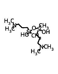 CN(C)CCC[Si](C)(O)O[Si](C)(O)CCCN(C)C